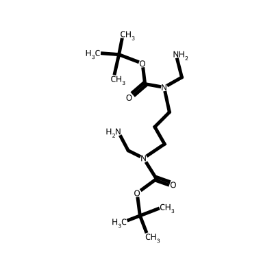 CC(C)(C)OC(=O)N(CN)CCCN(CN)C(=O)OC(C)(C)C